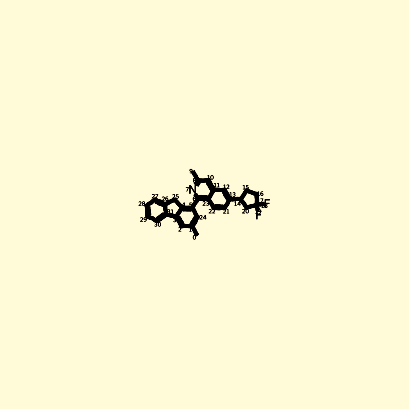 Cc1cc2c(c(-c3nc(C)cc4cc(C5CCC(F)(F)C5)ccc34)c1)Cc1ccccc1-2